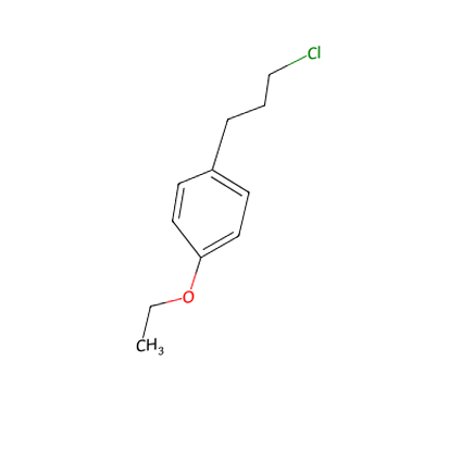 CCOc1ccc(CCCCl)cc1